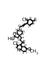 COc1ccc2ncc(Cl)c([C@H](F)CCC3(CC(=O)O)CCN(CC#Cc4ccc(F)cc4Cl)CC3)c2c1